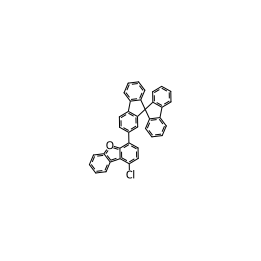 Clc1ccc(-c2ccc3c(c2)C2(c4ccccc4-c4ccccc42)c2ccccc2-3)c2oc3ccccc3c12